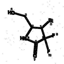 CCC1C(CO)NC(=O)C1(F)F